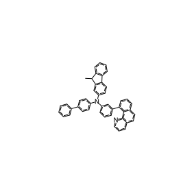 CC1c2ccccc2-c2ccc(N(c3ccc(-c4ccccc4)cc3)c3cccc(-c4cccc5ccc6cccnc6c45)c3)cc21